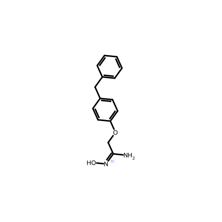 N/C(COc1ccc(Cc2ccccc2)cc1)=N/O